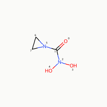 O=C(N(O)O)N1CC1